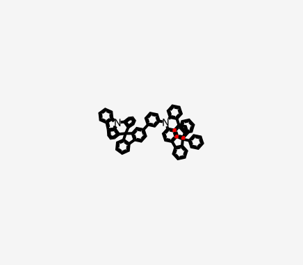 c1ccc(-c2ccccc2N(c2cccc(-c3ccc4c(c3)C3(c5ccccc5-4)c4ccccc4-n4c5ccccc5c5cccc3c54)c2)c2ccc3c(c2)C(c2ccccc2)(c2ccccc2)c2ccccc2-3)cc1